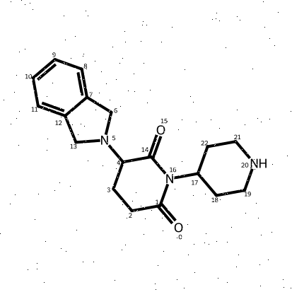 O=C1CCC(N2Cc3ccccc3C2)C(=O)N1C1CCNCC1